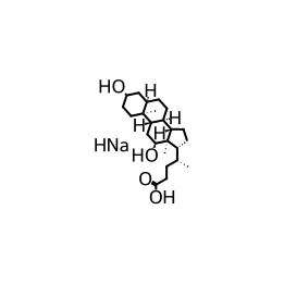 C[C@H](CCC(=O)O)[C@H]1CC[C@H]2[C@@H]3CC[C@@H]4C[C@H](O)CC[C@]4(C)[C@H]3C[C@H](O)[C@]12C.[NaH]